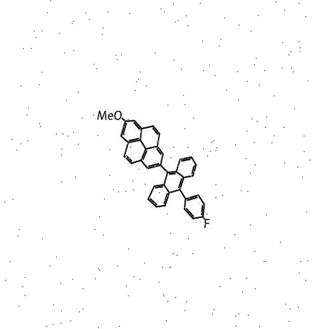 COc1cc2ccc3cc(-c4c5ccccc5c(-c5ccc(F)cc5)c5ccccc45)cc4ccc(c1)c2c34